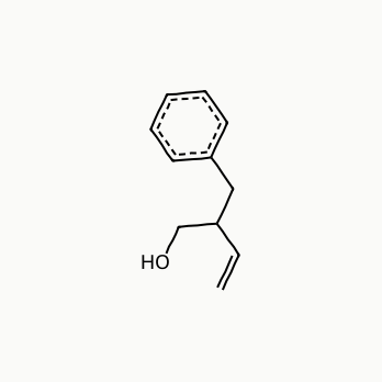 C=CC(CO)Cc1ccccc1